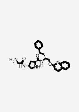 NCC(=O)N[C@H]1CN[C@H](C(=O)N[C@H](CCc2ccccc2)COc2ccc3ccccc3n2)C1